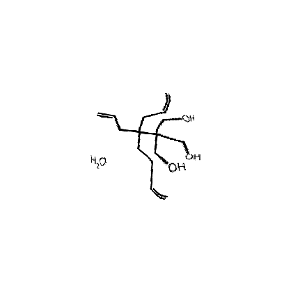 C=CCCC(CC=C)(CC=C)C(CO)(CO)CO.O